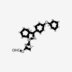 O=COc1csc(-n2nc(-c3ccc(Oc4ccccc4)cc3)c3ccccc32)n1